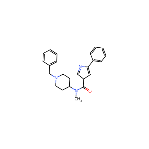 CN(C(=O)C1C=NC(c2ccccc2)=C1)C1CCN(Cc2ccccc2)CC1